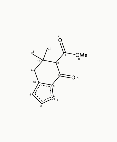 COC(=O)C1C(=O)c2sccc2CC1(C)C